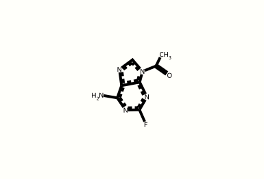 CC(=O)n1cnc2c(N)nc(F)nc21